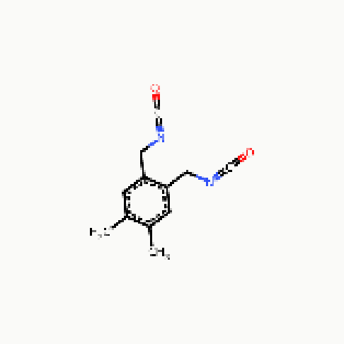 Cc1cc(CN=C=O)c(CN=C=O)cc1C